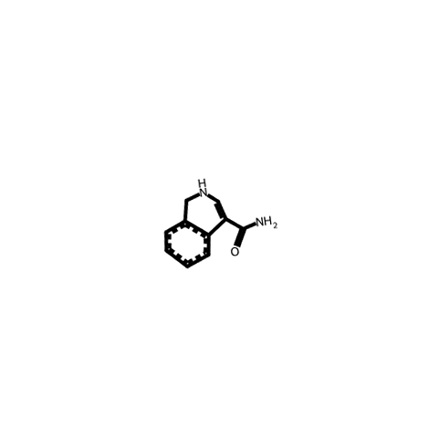 NC(=O)C1=CNCc2ccccc21